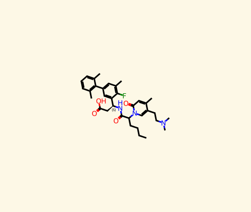 CCCCC(C(=O)N[C@@H](CC(=O)O)c1cc(-c2c(C)cccc2C)cc(C)c1F)n1cc(CCN(C)C)c(C)cc1=O